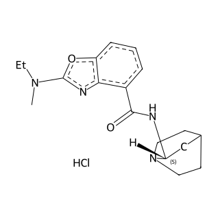 CCN(C)c1nc2c(C(=O)N[C@@H]3CC4CCN3CC4)cccc2o1.Cl